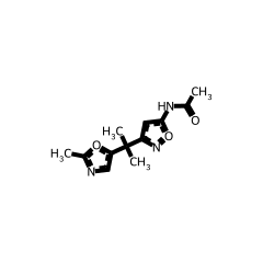 CC(=O)Nc1cc(C(C)(C)c2cnc(C)o2)no1